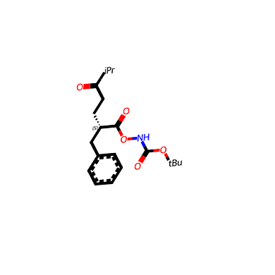 CC(C)C(=O)CC[C@@H](Cc1ccccc1)C(=O)ONC(=O)OC(C)(C)C